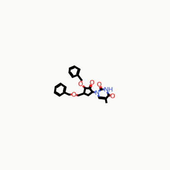 Cc1cn(C2CC(COCc3ccccc3)C(OCc3ccccc3)C2=O)c(=O)[nH]c1=O